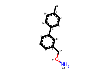 Cc1ccc(-c2cccc(CON)c2)cc1